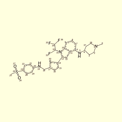 CN1CCC(Nc2cccc3c2cc(-c2ccc(CNc4ccc(S(C)(=O)=O)cc4)s2)n3C(F)C(F)F)CC1